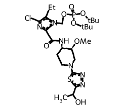 CCc1c(Cl)nc(C(=O)N[C@@H]2CCN(c3nnc(C(C)O)s3)C[C@@H]2OC)n1COP(=O)(OC(C)(C)C)OC(C)(C)C